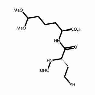 COC(CCC[C@H](NC(=O)[C@H](CCS)NC=O)C(=O)O)OC